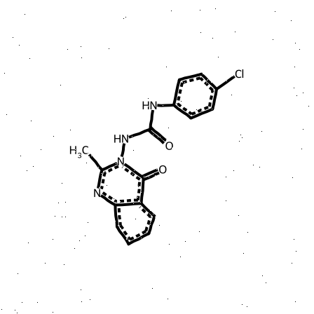 Cc1nc2ccccc2c(=O)n1NC(=O)Nc1ccc(Cl)cc1